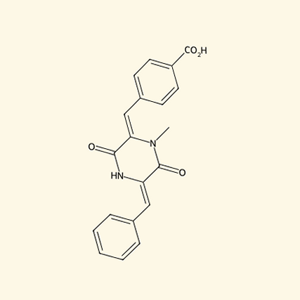 Cn1c(=O)/c(=C/c2ccccc2)[nH]c(=O)/c1=C/c1ccc(C(=O)O)cc1